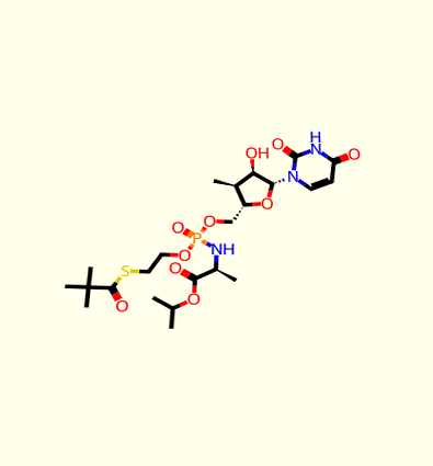 CC(C)OC(=O)[C@H](C)NP(=O)(OCCSC(=O)C(C)(C)C)OC[C@H]1O[C@@H](n2ccc(=O)[nH]c2=O)[C@H](O)[C@@H]1C